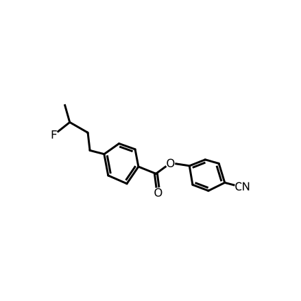 CC(F)CCc1ccc(C(=O)Oc2ccc(C#N)cc2)cc1